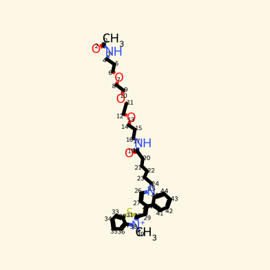 CC(=O)NCCCOCCOCCOCCCNC(=O)CCCCCN1C=CC(=Cc2sc3ccccc3[n+]2C)c2ccccc21